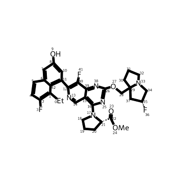 CCc1c(F)ccc2cc(O)cc(-c3ncc4c(N5CCC[C@H]5C(=O)OC)nc(OCC56CCCN5C[C@H](F)C6)nc4c3F)c12